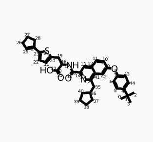 CC(C)(C)c1ccc(Oc2ccc3cc(C(=O)NC(Cc4ccc(C5=CCCC5)s4)C(=O)O)nc(CC4CCCC4)c3c2)cc1